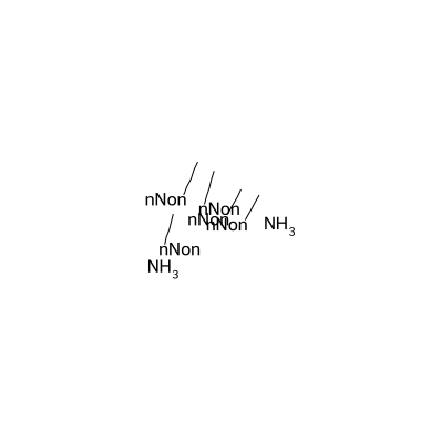 CCCCCCCCCC.CCCCCCCCCC.CCCCCCCCCC.CCCCCCCCCC.CCCCCCCCCC.N.N